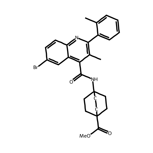 COC(=O)C12CCC(NC(=O)c3c(C)c(-c4ccccc4C)nc4ccc(Br)cc34)(CC1)CC2